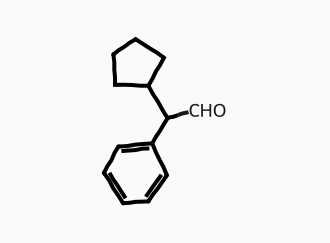 O=CC(c1ccccc1)C1CCCC1